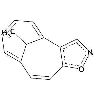 CC1C2=CC=CC=C1c1cnoc1C=C2